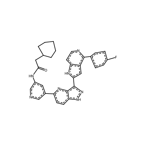 O=C(CC1CCCCC1)Nc1cncc(-c2ccc3[nH]nc(-c4cc5c(-c6ccc(F)cc6)nccc5[nH]4)c3n2)c1